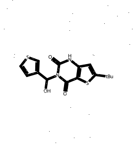 CC(C)(C)c1cc2[nH]c(=O)n(C(O)c3ccsc3)c(=O)c2s1